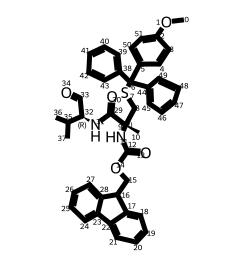 COc1ccc(C(SC[C@](C)(NC(=O)OCC2c3ccccc3-c3ccccc32)C(=O)N[C@@H](C=O)C(C)C)(c2ccccc2)c2ccccc2)cc1